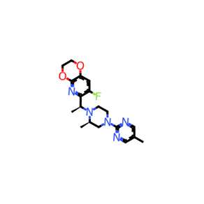 Cc1cnc(N2CCN([C@@H](C)c3nc4c(cc3F)OCCO4)[C@H](C)C2)nc1